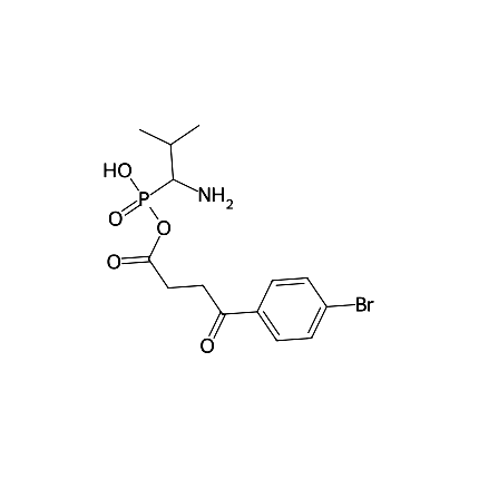 CC(C)C(N)P(=O)(O)OC(=O)CCC(=O)c1ccc(Br)cc1